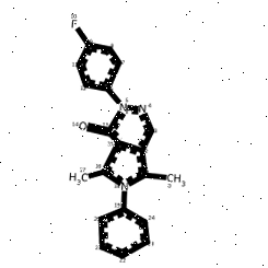 Cc1c2cnn(-c3ccc(F)cc3)c(=O)c2c(C)n1-c1ccccc1